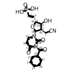 N#CC[C@@H]1[C@H](O)[C@@H](/C=C/P(=O)(O)O)O[C@H]1n1ccc(=O)n(C(=O)c2ccccc2)c1=O